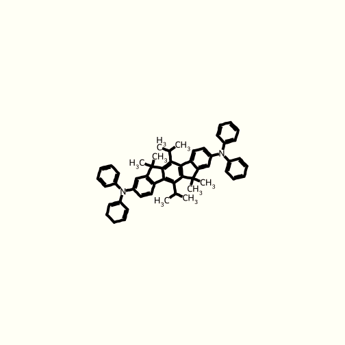 CC(C)c1c2c(c(C(C)C)c3c1C(C)(C)c1cc(N(C4=CCCC=C4)c4ccccc4)ccc1-3)C(C)(C)c1cc(N(c3ccccc3)c3ccccc3)ccc1-2